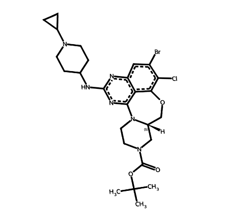 CC(C)(C)OC(=O)N1CCN2c3nc(NC4CCN(C5CC5)CC4)nc4cc(Br)c(Cl)c(c34)OC[C@@H]2C1